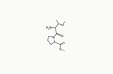 CCC(C)C(N)C(=O)N1CCCC1C(=O)OC